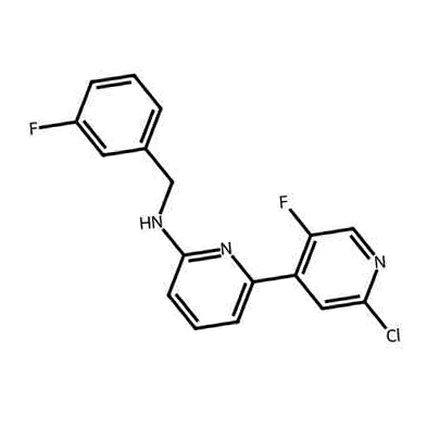 Fc1cccc(CNc2cccc(-c3cc(Cl)ncc3F)n2)c1